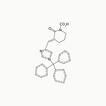 O=C(O)N1CCC/C(=C\c2cn(C(c3ccccc3)(c3ccccc3)c3ccccc3)cn2)C1=O